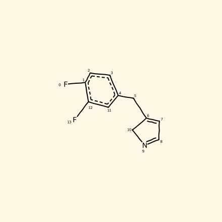 Fc1ccc(CC2=CC=NC2)cc1F